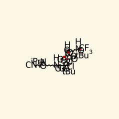 [C-]#[N+]CCCP(OCCCCCCNC(=O)CCc1cc2c(c(Cl)c1OC(=O)C(C)(C)C)Oc1cc(OC(=O)C(C)(C)C)c3ccccc3c1C21OC(=O)c2ccc([PH](=O)OCCCCNC(=O)C(F)(F)F)cc21)C(C(C)C)N(C)C